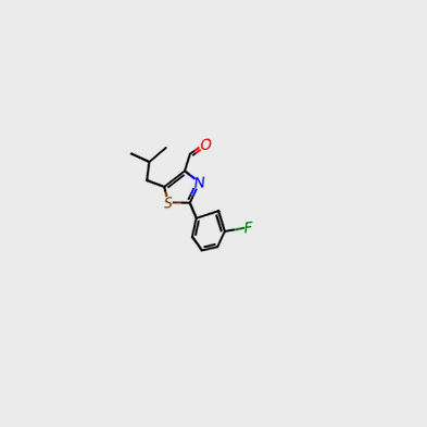 CC(C)Cc1sc(-c2cccc(F)c2)nc1C=O